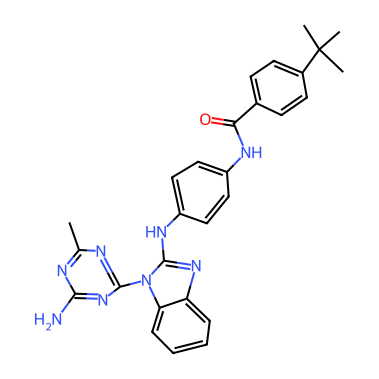 Cc1nc(N)nc(-n2c(Nc3ccc(NC(=O)c4ccc(C(C)(C)C)cc4)cc3)nc3ccccc32)n1